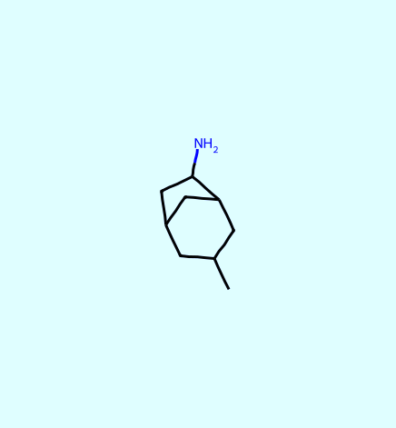 CC1CC2CC(N)C(C1)C2